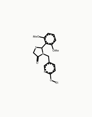 CCOc1ccc(CN2C(=O)CSC2c2c(OC)cccc2OC)cn1